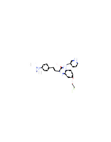 CN(C)c1ccc(/C=C/c2nc3cc(OCCF)ccc3n(Cc3cccnc3)c2=O)cc1